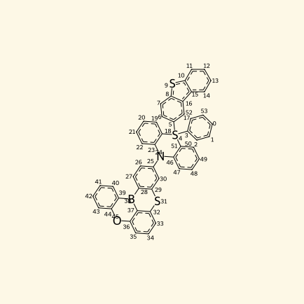 c1ccc(S2(c3ccc4sc5ccccc5c4c3)c3ccccc3N(c3ccc4c(c3)Sc3cccc5c3B4c3ccccc3O5)c3ccccc32)cc1